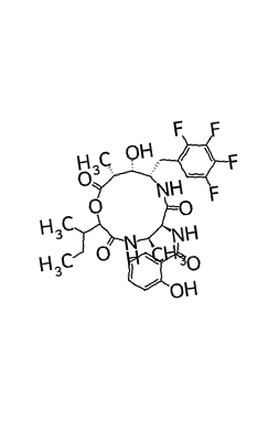 CCC(C)C1OC(=O)[C@H](C)[C@H](O)[C@H](Cc2cc(F)c(F)c(F)c2F)NC(=O)[C@@H](NC(=O)c2ccccc2O)[C@@H](C)NC1=O